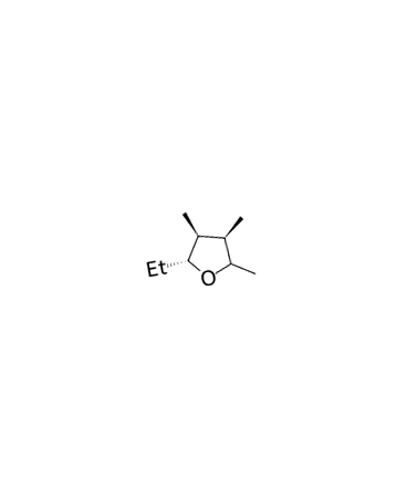 CC[C@H]1OC(C)[C@H](C)[C@@H]1C